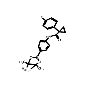 CC1(C)OB(c2ccc(NC(=O)C3(c4ccc(F)cc4)CC3)cc2)OC1(C)C